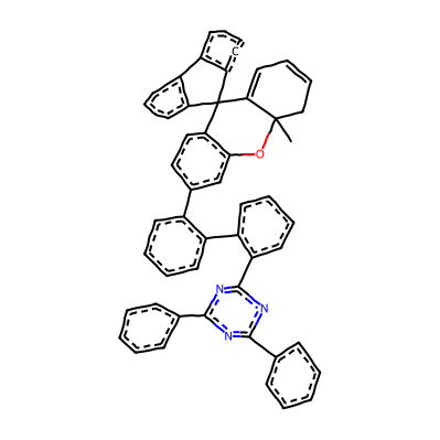 CC12CC=CC=C1C1(c3ccc(-c4ccccc4-c4ccccc4-c4nc(-c5ccccc5)nc(-c5ccccc5)n4)cc3O2)c2ccccc2-c2ccccc21